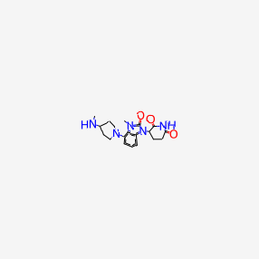 CNC1CCN(c2cccc3c2n(C)c(=O)n3C2CCC(=O)NC2=O)CC1